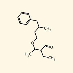 CCC(C=O)C(C)OCCC(C)Cc1ccccc1